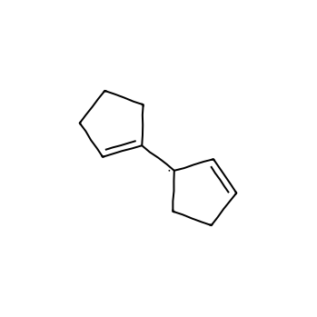 C1=C[C](C2=CCCC2)CC1